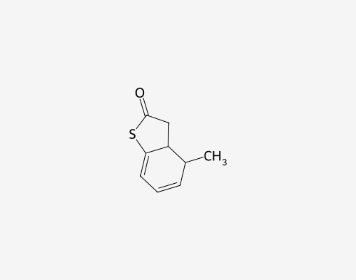 CC1C=CC=C2SC(=O)CC21